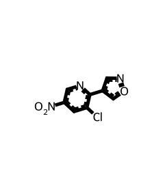 O=[N+]([O-])c1cnc(-c2cnoc2)c(Cl)c1